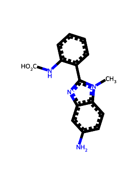 Cn1c(-c2ccccc2NC(=O)O)nc2cc(N)ccc21